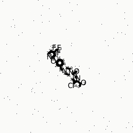 CC(=O)c1nn(C(=O)N2CCN(Cc3cccc(Oc4cc(C(F)(F)F)ccn4)c3)CC2)cc1Cl